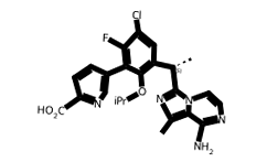 Cc1nc([C@@H](C)c2cc(Cl)c(F)c(-c3ccc(C(=O)O)nc3)c2OC(C)C)n2ccnc(N)c12